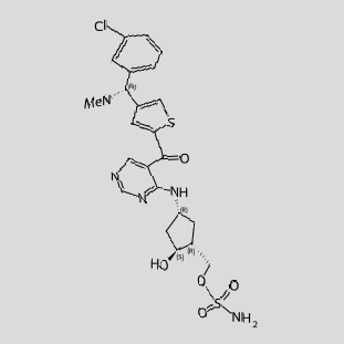 CN[C@H](c1cccc(Cl)c1)c1csc(C(=O)c2cncnc2N[C@@H]2C[C@H](COS(N)(=O)=O)[C@@H](O)C2)c1